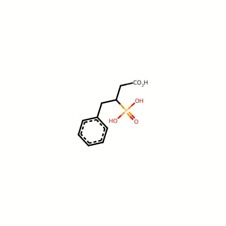 O=C(O)CC(Cc1ccccc1)P(=O)(O)O